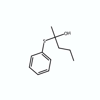 CCCC(C)(O)Sc1ccccc1